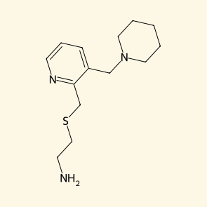 NCCSCc1ncccc1CN1CCCCC1